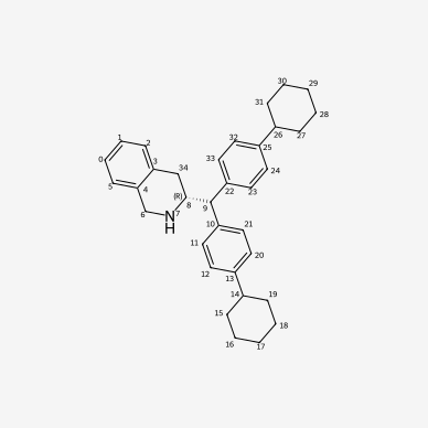 c1ccc2c(c1)CN[C@@H](C(c1ccc(C3CCCCC3)cc1)c1ccc(C3CCCCC3)cc1)C2